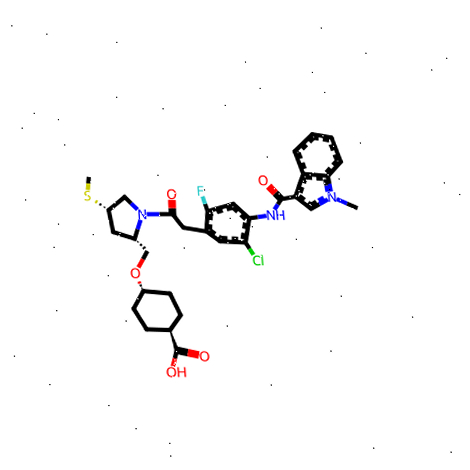 CS[C@H]1C[C@@H](CO[C@H]2CC[C@H](C(=O)O)CC2)N(C(=O)Cc2cc(Cl)c(NC(=O)c3cn(C)c4ccccc34)cc2F)C1